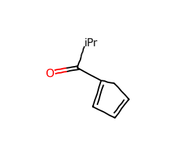 CC(C)C(=O)C1=CC=CC1